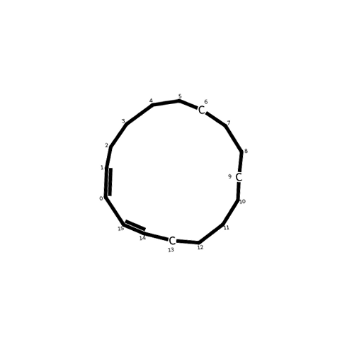 C1=CCCCCCCCCCCCCC=C1